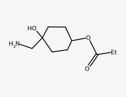 CCC(=O)OC1CCC(O)(CN)CC1